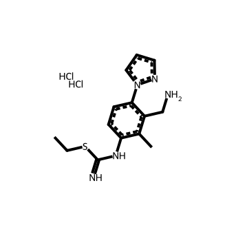 CCSC(=N)Nc1ccc(-n2cccn2)c(CN)c1C.Cl.Cl